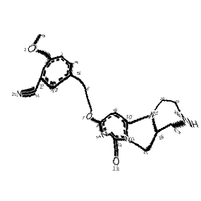 COc1ccc(COc2cc3n(c(=O)n2)CC2CNCCN32)cc1C#N